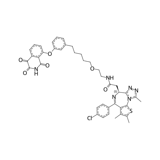 Cc1sc2c(c1C)C(c1ccc(Cl)cc1)=N[C@@H](CC(=O)NCCOCCCCCc1cccc(Oc3cccc4c3C(=O)NC(=O)C4=O)c1)c1nnc(C)n1-2